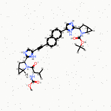 COC(=O)N[C@H](C(=O)N1[C@@H]2CC2C[C@H]1c1ncc(C#Cc2ccc3cc(-c4cnc(C5CC6CC6N5C(=O)OC(C)(C)C)[nH]4)ccc3c2)[nH]1)C(C)C